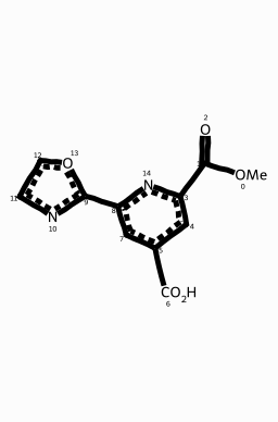 COC(=O)c1cc(C(=O)O)cc(-c2ncco2)n1